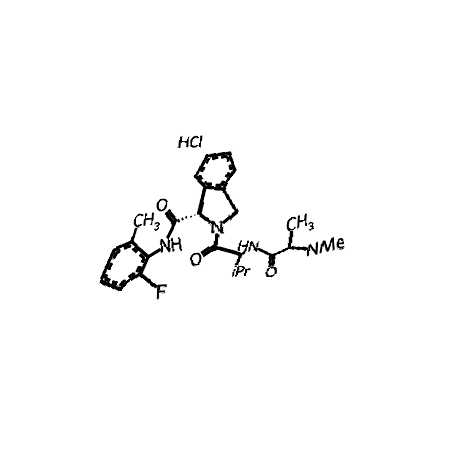 CNC(C)C(=O)NC(C(=O)N1Cc2ccccc2[C@H]1C(=O)Nc1c(C)cccc1F)C(C)C.Cl